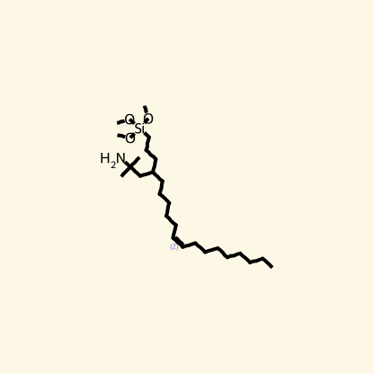 CCCCCCCC/C=C\CCCCCC(CCC[Si](OC)(OC)OC)CC(C)(C)N